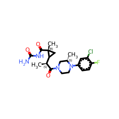 C[C@H](C(=O)N1CCN(c2ccc(F)c(Cl)c2)[C@@H](C)C1)C1C[C@@]1(C)C(=O)NC(N)=O